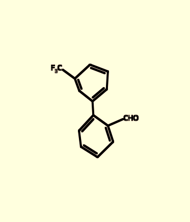 O=Cc1ccccc1-c1cccc(C(F)(F)F)c1